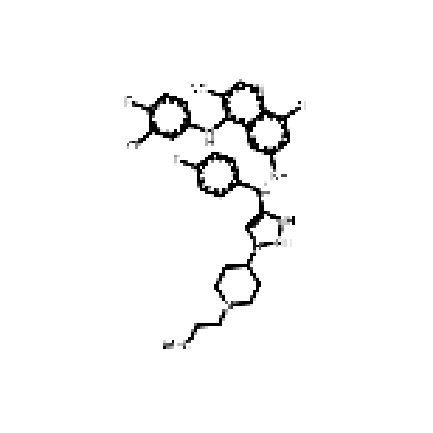 COCCN1CCC(N2C=C([C@@H](Nc3cc(Cl)c4ncc(C#N)c(Nc5ccc(F)c(Cl)c5)c4c3)c3ccc(F)cc3)NN2)CC1